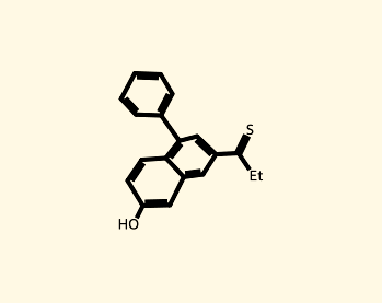 CCC(=S)c1cc(-c2ccccc2)c2ccc(O)cc2c1